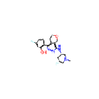 CN1C[C@H](F)C[C@@H](Nc2nnc(-c3ccc(F)cc3O)c3c2COCC3)C1